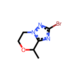 CC1OCCn2nc(Br)nc21